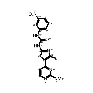 CNc1nccc(-c2sc(NC(=O)Nc3cccc([N+](=O)[O-])c3)nc2C)n1